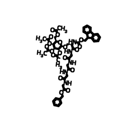 CC(=O)OC[C@H]1O[C@@H](OC[C@H](NC(=O)OCC2c3ccccc3-c3ccccc32)C(=O)NCC(=O)NCC(=O)NCC(=O)NCC(=O)OCc2ccccc2)[C@H](OC(C)=O)[C@@H](OC(C)=O)[C@@H]1OC(C)=O